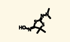 CN(C)/N=C1/S/C(=N\O)C(C)(C)S1